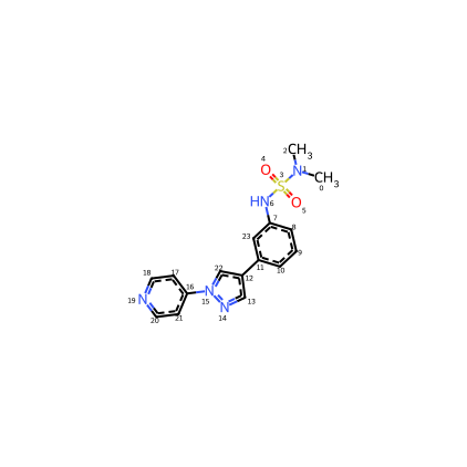 CN(C)S(=O)(=O)Nc1cccc(-c2cnn(-c3ccncc3)c2)c1